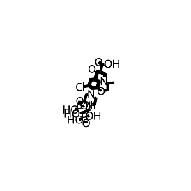 CC1COc2c(N3CCN(CC(O)(P(=O)(O)O)P(=O)(O)O)CC3)c(Cl)cc3c(=O)c(C(=O)O)cn1c23